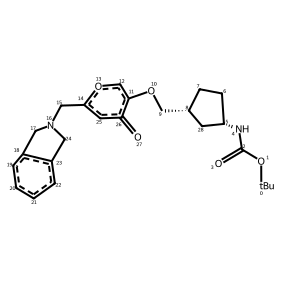 CC(C)(C)OC(=O)N[C@H]1CC[C@@H](COc2coc(CN3Cc4ccccc4C3)cc2=O)C1